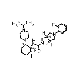 CC(C)N1CCN([C@H]2CCCC(F)(F)[C@@H]2NC(=O)N2C[C@@H]3CN(c4ccccc4F)C[C@@H]3C2)CC1